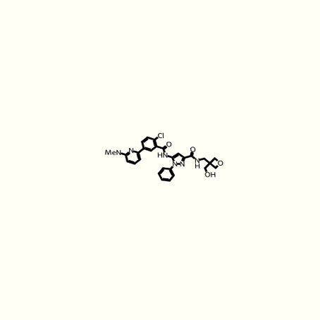 CNc1cccc(-c2ccc(Cl)c(C(=O)Nc3cc(C(=O)NCC4(CO)COC4)nn3-c3ccccc3)c2)n1